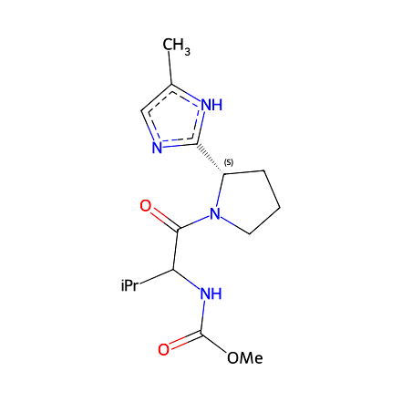 COC(=O)NC(C(=O)N1CCC[C@H]1c1ncc(C)[nH]1)C(C)C